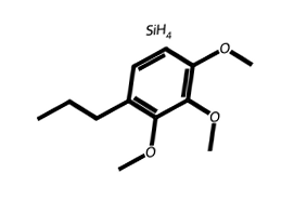 CCCc1ccc(OC)c(OC)c1OC.[SiH4]